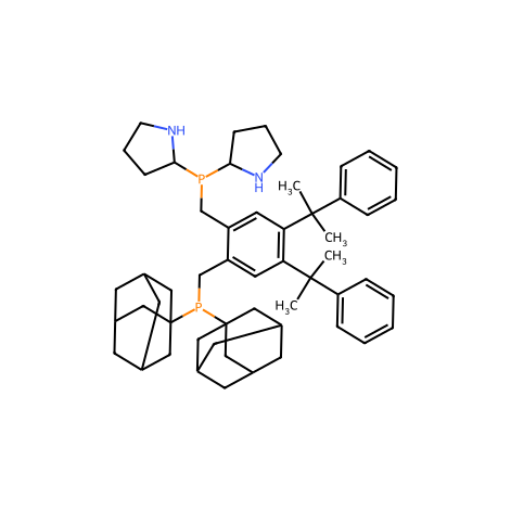 CC(C)(c1ccccc1)c1cc(CP(C2CCCN2)C2CCCN2)c(CP(C23CC4CC(CC(C4)C2)C3)C23CC4CC(CC(C4)C2)C3)cc1C(C)(C)c1ccccc1